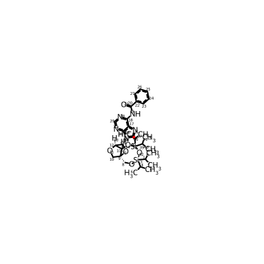 CC(C)[Si]1(C(C)C)OC[C@@]23CO[C@@H]([C@H](n4cnc5c(NC(=O)c6ccccc6)ncnc54)O2)[C@@H]3O[Si](C(C)C)(C(C)C)O1